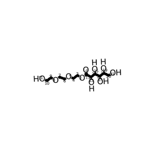 O=C(OCCOCCOCCO)[C@H](O)[C@@H](O)[C@H](O)[C@H](O)CO